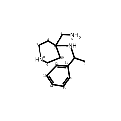 CC(NC1(CN)CCNCC1)c1ccccc1